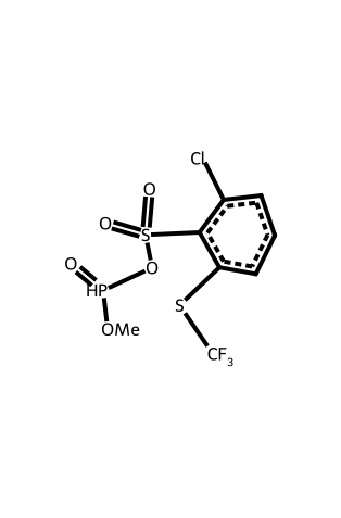 CO[PH](=O)OS(=O)(=O)c1c(Cl)cccc1SC(F)(F)F